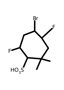 CC1(C)CC(F)C(Br)CC(F)C1S(=O)(=O)O